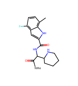 CNC(=O)C(NC(=O)c1cc2c(F)ccc(C)c2[nH]1)C1CCCCN1